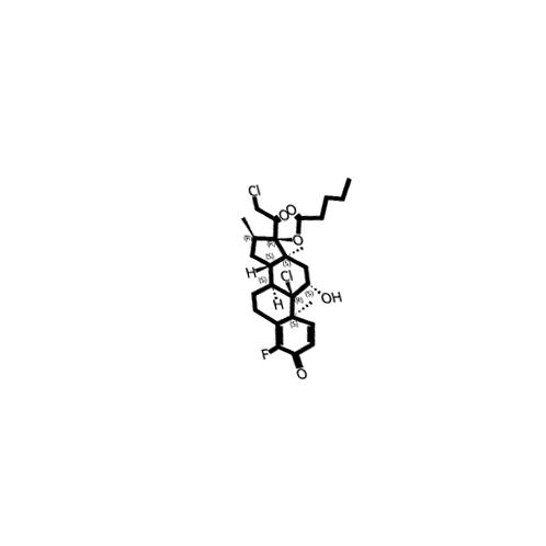 CCCCC(=O)O[C@]1(C(=O)CCl)[C@H](C)C[C@H]2[C@@H]3CCC4=C(F)C(=O)C=C[C@]4(C)[C@@]3(Cl)[C@@H](O)C[C@@]21C